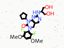 COc1cc(OC)c(F)c(N2Cc3cnc(NC(CO)CO)nc3N(C3CCCC3)C2=O)c1F